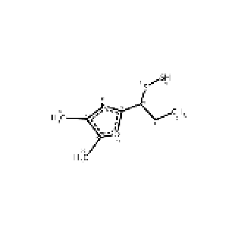 CCC(SS)c1nc(C)c(C)o1